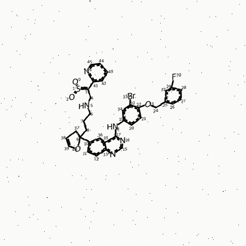 O=S(=O)=C(CNCCCC1(c2ccc3ncnc(Nc4ccc(OCc5cccc(F)c5)c(Br)c4)c3c2)CC=CO1)c1ccccn1